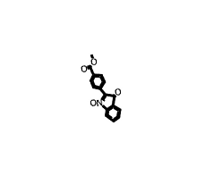 COC(=O)c1ccc(C2=[N+]([O-])c3ccccc3C2=O)cc1